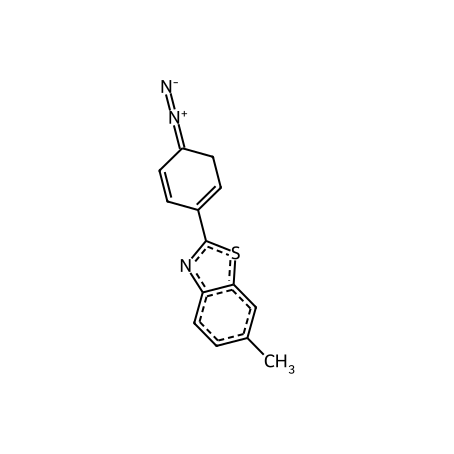 Cc1ccc2nc(C3=CCC(=[N+]=[N-])C=C3)sc2c1